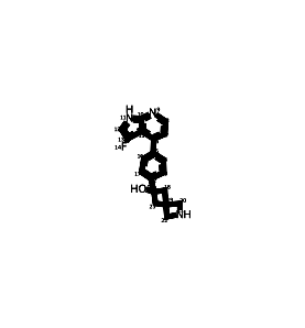 OC1(c2ccc(-c3ccnc4[nH]cc(F)c34)cc2)CC2(CNC2)C1